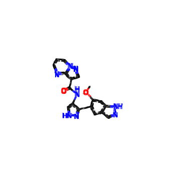 COc1cc2[nH]ncc2cc1-c1n[nH]cc1NC(=O)c1cnn2cccnc12